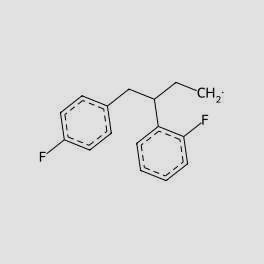 [CH2]CC(Cc1ccc(F)cc1)c1ccccc1F